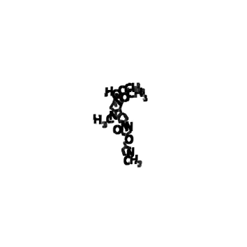 Cc1ccc(COc2cnn(-c3ccc4c5c(n(C)c4c3)CC3CCCC5N3C(=O)OC(C)(C)C)c(=O)c2)cn1